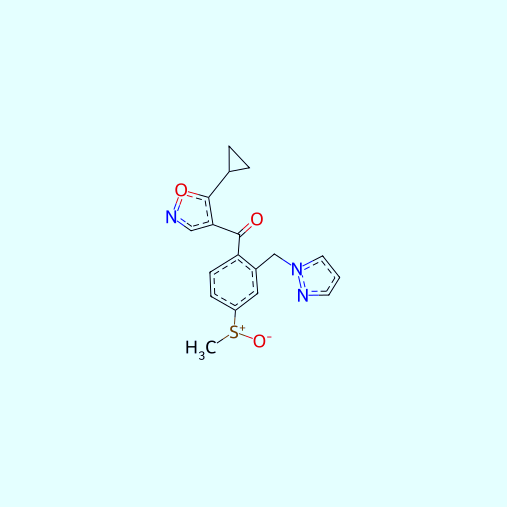 C[S+]([O-])c1ccc(C(=O)c2cnoc2C2CC2)c(Cn2cccn2)c1